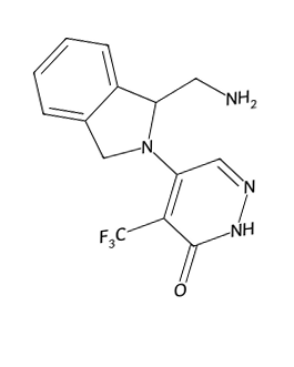 NCC1c2ccccc2CN1c1cn[nH]c(=O)c1C(F)(F)F